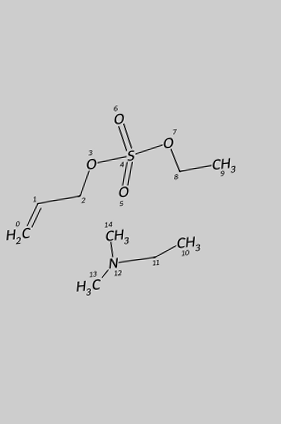 C=CCOS(=O)(=O)OCC.CCN(C)C